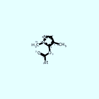 CCC(=O)Oc1c(C)cnn1C